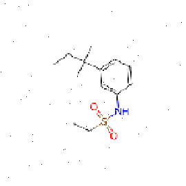 CCC(C)(C)c1cccc(NS(=O)(=O)CC)c1